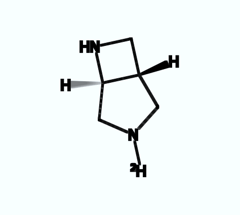 [2H]N1C[C@H]2CN[C@@H]2C1